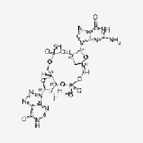 Nc1nc2c(ncn2[C@@H]2O[C@@H]3COP(=O)(S)O[C@H]4[C@H](F)[C@H](n5nnc6c(=O)[nH]cnc65)O[C@@H]4COP(=O)(S)O[C@@H]2C3)c(=O)[nH]1